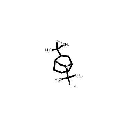 CC(C)(C)C1CC2CCCC1CN2C(C)(C)C